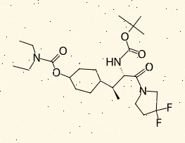 CCN(CC)C(=O)OC1CCC([C@H](C)[C@H](NC(=O)OC(C)(C)C)C(=O)N2CCC(F)(F)C2)CC1